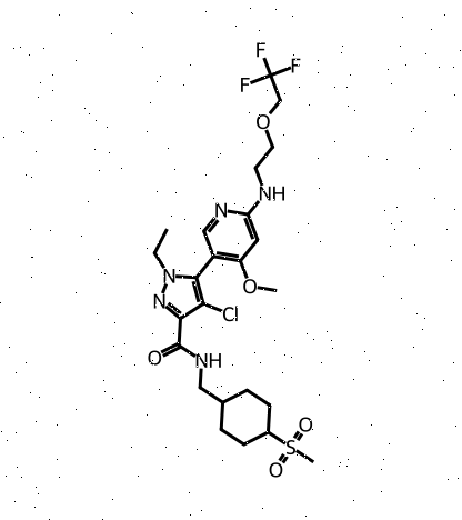 CCn1nc(C(=O)NCC2CCC(S(C)(=O)=O)CC2)c(Cl)c1-c1cnc(NCCOCC(F)(F)F)cc1OC